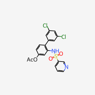 CC(=O)Oc1ccc(-c2cc(Cl)cc(Cl)c2)c(NS(=O)(=O)c2cccnc2)c1